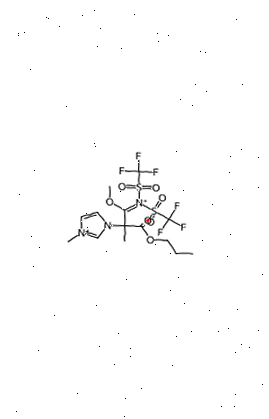 CCCOC(=O)C(C)(C(OC)=[N+](S(=O)(=O)C(F)(F)F)S(=O)(=O)C(F)(F)F)n1cc[n+](C)c1